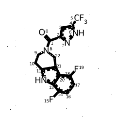 O=C(c1cc(C(F)(F)F)[nH]n1)N1CCc2[nH]c3c(F)ccc(F)c3c2C1